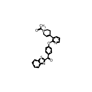 CC(=O)N1CC=C(c2cccnc2Oc2ccc(C(=O)c3nc4ccccc4s3)cc2)CC1